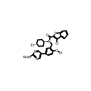 CCOc1ccc(-c2cnc(NC)nc2)cc1CN(C(=O)c1sc2ccccc2c1Cl)[C@H]1CC[C@H](CC)CC1